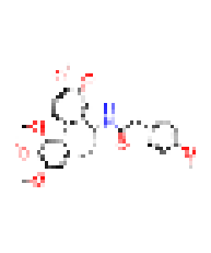 COc1ccc(CC(=O)NC2CCc3cc(OC)c(OC)c(OC)c3-c3ccc(OC)c(=O)cc32)cc1